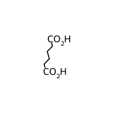 [17O]=C([17OH])CCCCC(=[17O])[17OH]